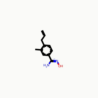 C=CCc1ccc(/C(N)=N/O)cc1C